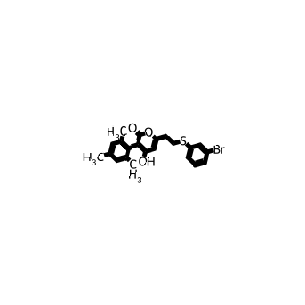 Cc1cc(C)c(-c2c(O)cc(CCSc3cccc(Br)c3)oc2=O)c(C)c1